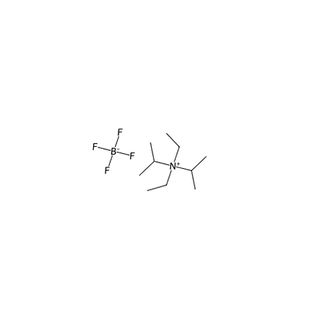 CC[N+](CC)(C(C)C)C(C)C.F[B-](F)(F)F